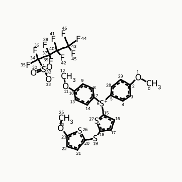 COc1ccc([S+](c2ccc(OC)cc2)c2ccc(Sc3ccc(OC)s3)s2)cc1.O=S(=O)([O-])C(F)(F)C(F)(F)C(F)(F)C(F)(F)F